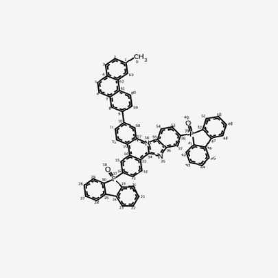 Cc1ccc2ccc3cc(-c4ccc5c6cc(P7(=O)c8ccccc8-c8ccccc87)ccc6c6nc7cc(P8(=O)c9ccccc9-c9ccccc98)ccc7n6c5c4)ccc3c2c1